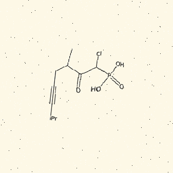 CC(C)C#CCC(C)C(=O)C(Cl)P(=O)(O)O